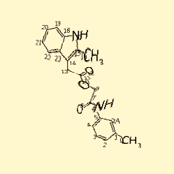 Cc1cccc(NC(=O)COC(=O)Cc2c(C)[nH]c3ccccc23)c1